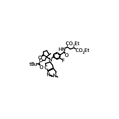 CCOC(=O)CC[C@H](NC(=O)c1ccc(N(C2CCC3=C(C2)CN(C)C=N3)C2(COC(=O)C(C)(C)C)C(=O)CCC2C)cc1F)C(=O)OCC